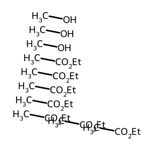 CCOC(C)=O.CCOC(C)=O.CCOC(C)=O.CCOC(C)=O.CCOC(C)=O.CCOC(C)=O.CCOC(C)=O.CO.CO.CO